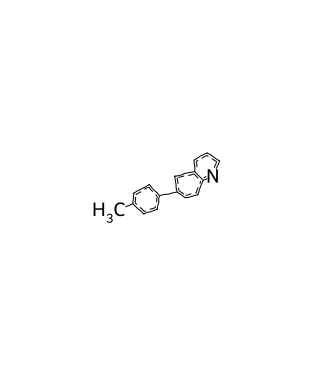 Cc1ccc(-c2ccc3ncccc3c2)cc1